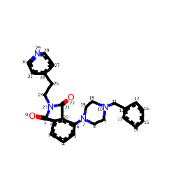 O=C1c2cccc(N3CCN(Cc4ccccc4)CC3)c2C(=O)N1CCc1ccncc1